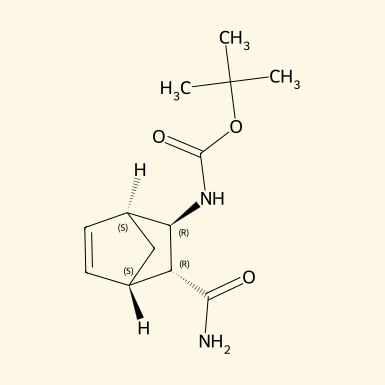 CC(C)(C)OC(=O)N[C@H]1[C@H](C(N)=O)[C@@H]2C=C[C@@H]1C2